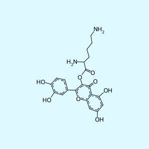 NCCCCC(N)C(=O)Oc1c(-c2ccc(O)c(O)c2)oc2cc(O)cc(O)c2c1=O